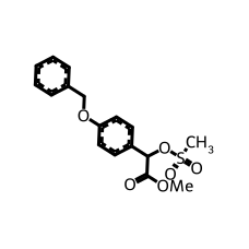 COC(=O)C(OS(C)(=O)=O)c1ccc(OCc2ccccc2)cc1